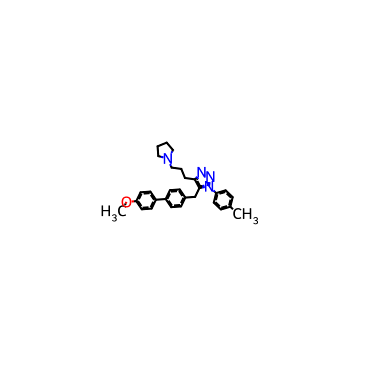 COc1ccc(-c2ccc(Cc3c(CCCN4CCCC4)nnn3-c3ccc(C)cc3)cc2)cc1